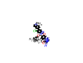 Cc1ccc(Oc2nc3cc(-c4ccc5c(ccn5C)c4)c(Cl)cc3n2COCC[Si](C)(C)C)cc1-n1nn[nH]c1=O